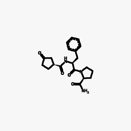 NC(=O)[C@@H]1CCCN1C(=O)[C@H](Cc1ccccc1)NC(=O)[C@@H]1CCC(=O)C1